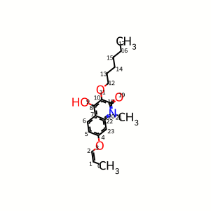 C/C=C\Oc1ccc2c(O)c(OCCCCCC)c(=O)n(C)c2c1